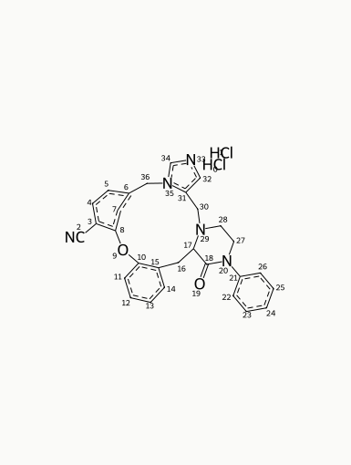 Cl.Cl.N#Cc1ccc2cc1Oc1ccccc1CC1C(=O)N(c3ccccc3)CCN1Cc1cncn1C2